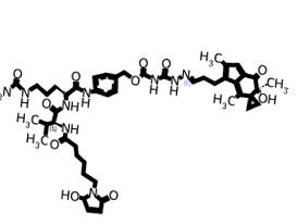 CC1=C(CC/C=N/NC(=O)NC(=O)OCc2ccc(NC(=O)[C@H](CCCNC(N)=O)NC(=O)[C@@H](NC(=O)CCCCCN3C(=O)C=CC3O)C(C)C)cc2)C2=C(C)C3(CC3)[C@](C)(O)C(=O)C2=C1